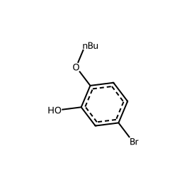 CCCCOc1ccc(Br)cc1O